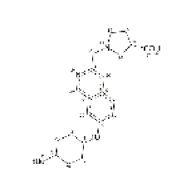 CC(C)(C)C1CCC(Oc2ccc3cc(CN4CCC(C(=O)O)C4)ncc3c2)CC1